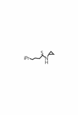 CC(C)CCCC(=S)NC1CC1